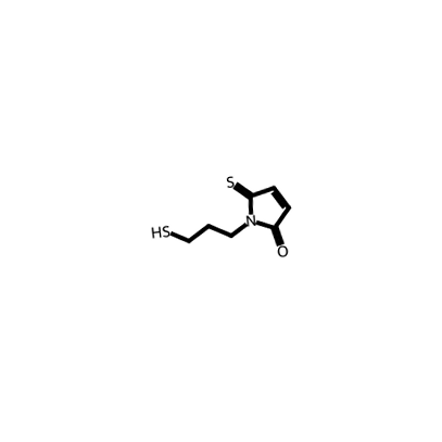 O=C1C=CC(=S)N1CCCS